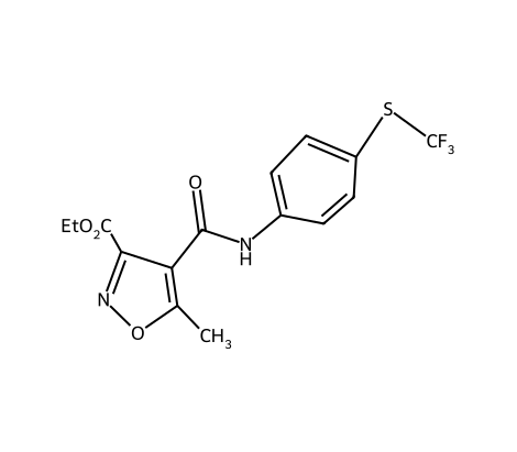 CCOC(=O)c1noc(C)c1C(=O)Nc1ccc(SC(F)(F)F)cc1